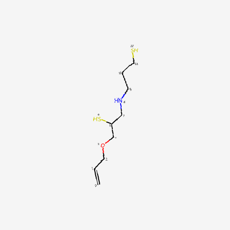 C=CCOCC(S)CNCCCS